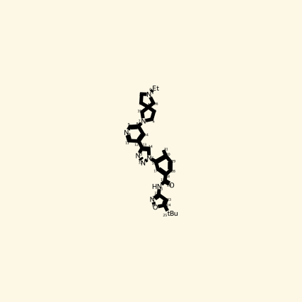 CCN1CCC2(CCN(c3cncc(-c4cn(-c5cc(C(=O)Nc6cc(C(C)(C)C)on6)ccc5C)nn4)c3)C2)C1